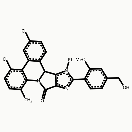 CCn1c(-c2ccc(CO)cc2OC)nc2c1C1c3ccc(Cl)cc3-c3c(Cl)ccc(C)c3N1C2=O